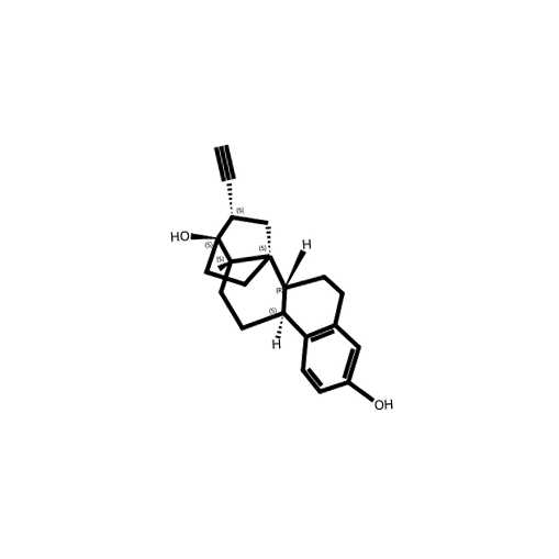 C#C[C@@H]1C[C@]23CC[C@@]1(O)[C@@]2(C)CC[C@@H]1c2ccc(O)cc2CC[C@H]13